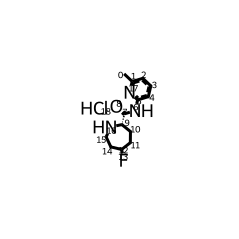 Cc1cccc(NC(=O)[C@@H]2CCC(F)CCN2)n1.Cl